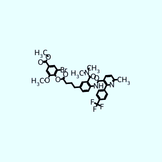 COC(=O)c1cc(Br)c(OC(=O)CCCc2ccc(NC(=O)c3ccc(C)nc3-c3ccc(C(F)(F)F)cc3)c(C(=O)N(C)C)c2)c(OC)c1